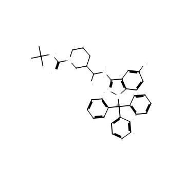 CC(C)(C)OC(=O)N1CCCC(C(O)Nc2nn(C(c3ccccc3)(c3ccccc3)c3ccccc3)c3ccc(Br)cc23)C1